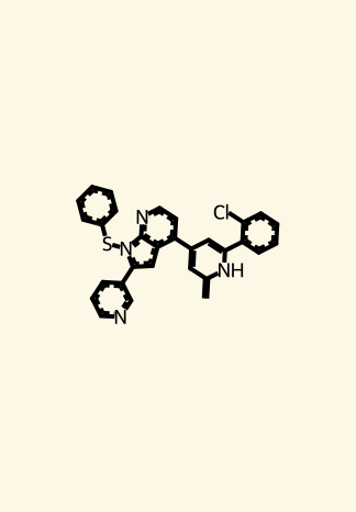 C=C1C=C(c2ccnc3c2cc(-c2cccnc2)n3Sc2ccccc2)C=C(c2ccccc2Cl)N1